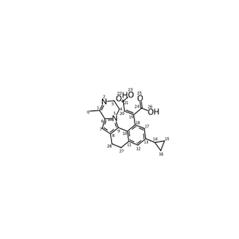 CC1=NCCn2c1cc1c2-c2c(cc(C3CC3)cc2C(=CC(=O)O)C(=O)O)CC1